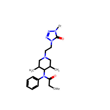 CCn1nnn(CCN2CC(C)C(N(C(=O)COC)c3ccccc3)C(C)C2)c1=O